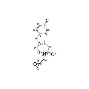 O=C1CCN(Cc2ccc(Cl)cc2)CCN1C[C@H]1CO1